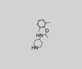 Cc1cccc(C)c1OC(C)NC1CCNCC1